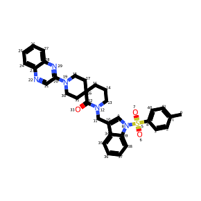 Cc1ccc(S(=O)(=O)n2cc(CN3CCCC4(CCN(c5cnc6ccccc6n5)CC4)C3=O)c3ccccc32)cc1